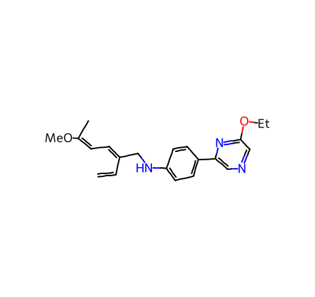 C=C/C(=C\C=C(/C)OC)CNc1ccc(-c2cncc(OCC)n2)cc1